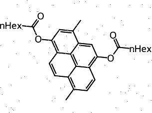 CCCCCCC(=O)Oc1cc2c(C)cc(OC(=O)CCCCCC)c3ccc4c(C)ccc1c4c23